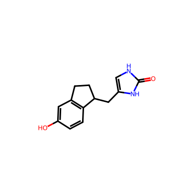 O=c1[nH]cc(CC2CCc3cc(O)ccc32)[nH]1